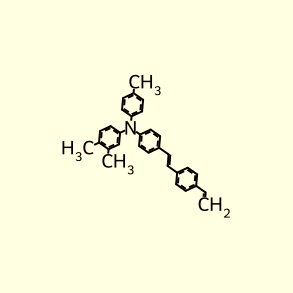 C=Cc1ccc(C=Cc2ccc(N(c3ccc(C)cc3)c3ccc(C)c(C)c3)cc2)cc1